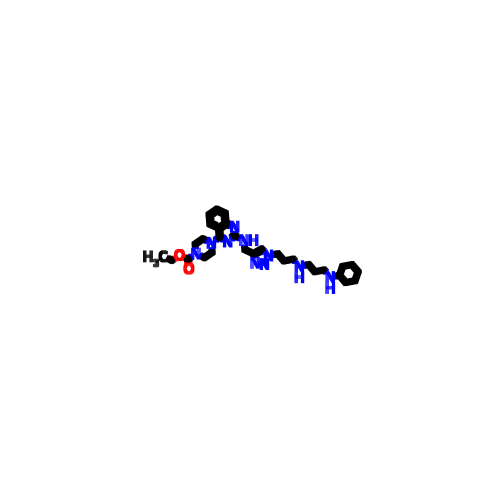 CCOC(=O)N1CCN(c2nc(NCc3cn(CCCNCCCNC4CCCCC4)nn3)nc3ccccc23)CC1